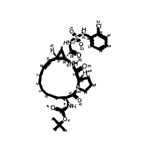 CC(C)(C)OC(=O)N[C@H]1CCCCC/C=C\[C@@H]2C[C@@]2(C(=O)NS(=O)(=O)Nc2ccccc2Cl)NC(=O)[C@@H]2CCCN2C1=O